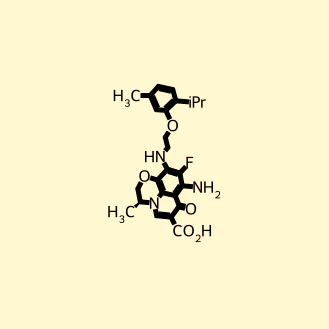 Cc1ccc(C(C)C)c(OCCNc2c(F)c(N)c3c(=O)c(C(=O)O)cn4c3c2OC[C@@H]4C)c1